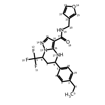 CCc1ccc(C2CC(C(F)(F)F)n3ncc(C(=O)NCc4ccoc4)c3N2)cc1